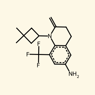 C=C1CCc2cc(N)cc(C(F)(F)F)c2N1C1CC(C)(C)C1